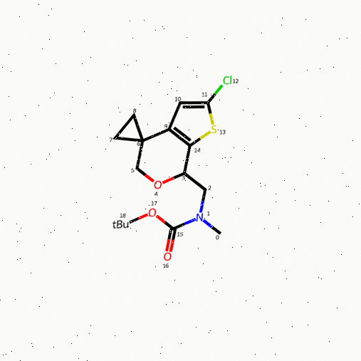 CN(CC1OCC2(CC2)c2cc(Cl)sc21)C(=O)OC(C)(C)C